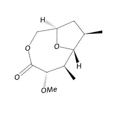 CO[C@@H]1C(=O)OC[C@H]2C[C@@H](C)[C@@H](O2)[C@H]1C